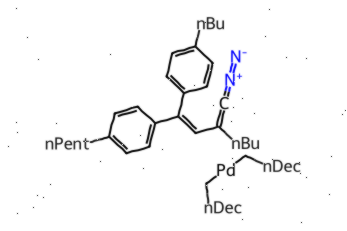 CCCCCCCCCC[CH2][Pd][CH2]CCCCCCCCCC.CCCCCc1ccc(C(=CC(=C=[N+]=[N-])CCCC)c2ccc(CCCC)cc2)cc1